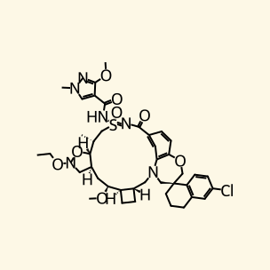 CCON1C[C@@H]2C[C@H](OC)[C@@H]3CC[C@H]3CN3C[C@@]4(CCCc5cc(Cl)ccc54)COc4ccc(cc43)C(=O)N=[S@](=O)(NC(=O)c3cn(C)nc3OC)C[C@@H](C)[C@H]2O1